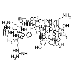 CC(C)C[C@H](NC(=O)[C@H](Cc1ccc(O)cc1)NC(=O)[C@H](Cc1ccccc1)NC(=O)[C@@H](NC(=O)[C@H](CC(C)C)NC(=O)[C@H](CCCCN)NC(=O)[C@H](CCCNC(=N)N)NC(=O)[C@@H](N)CCCNC(=N)N)[C@@H](C)O)C(=O)N[C@@H](CCCCN)C(=O)N[C@H](C(=O)N[C@@H](CC(C)C)C(=O)N[C@@H](CCC(=O)O)C(=O)O)[C@@H](C)O